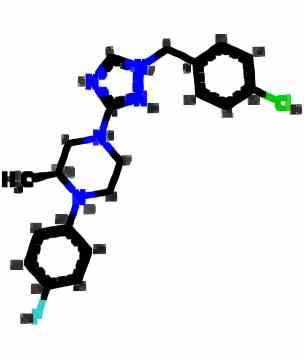 C[C@H]1CN(c2ncn(Cc3ccc(Cl)cc3)n2)CCN1c1ccc(F)cc1